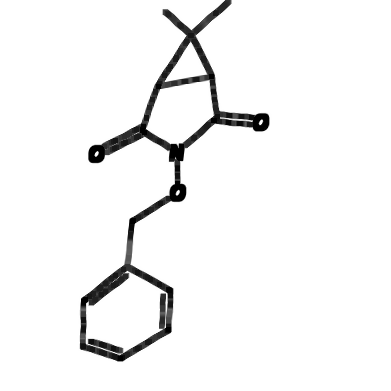 CC1(C)C2C(=O)N(OCc3ccccc3)C(=O)C21